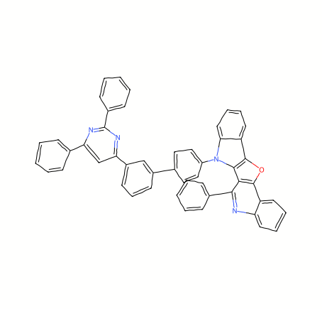 c1ccc(-c2cc(-c3cccc(-c4ccc(-n5c6ccccc6c6oc7c8ccccc8nc(-c8ccccc8)c7c65)cc4)c3)nc(-c3ccccc3)n2)cc1